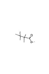 COC(=O)C(C)(C)C(C)(C)C